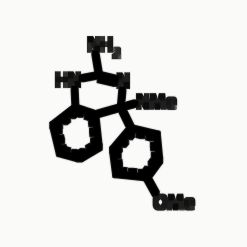 CNC1(c2ccc(OC)cc2)N=C(N)Nc2ccccc21